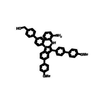 COc1ccc(-c2ccc(-c3c(Nc4ccccc4N)n(-c4ccc(-c5ccc(CO)cc5)cc4)c4ccc(-c5ccc(OC)cc5)cc34)cc2)cc1